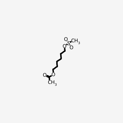 CC(=O)OCCCCCCOS(C)(=O)=O